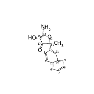 CC1(c2ccc3ccccc3c2)OC(N)=C(O)C1=O